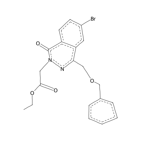 CCOC(=O)Cn1nc(COCc2ccccc2)c2cc(Br)ccc2c1=O